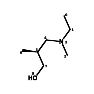 CCN(C)C[C@H](C)CO